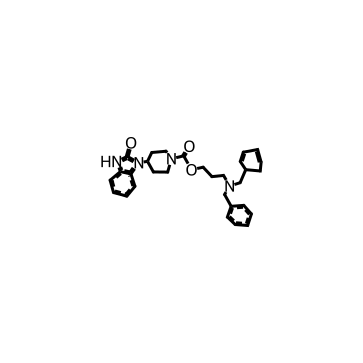 O=C(OCCCN(Cc1ccccc1)CC1C=CC=CC1)N1CCC(n2c(=O)[nH]c3ccccc32)CC1